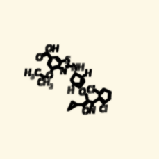 CC(C)Oc1cc(C(=O)O)cc2sc(N[C@H]3C[C@@H]4C[C@H]3C[C@@H]4OCc3c(-c4c(Cl)cccc4Cl)noc3C3CC3)nc12